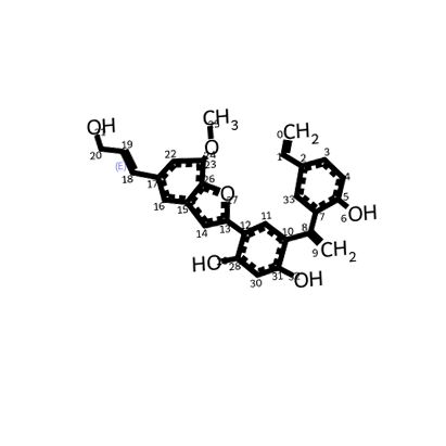 C=Cc1ccc(O)c(C(=C)c2cc(-c3cc4cc(/C=C/CO)cc(OC)c4o3)c(O)cc2O)c1